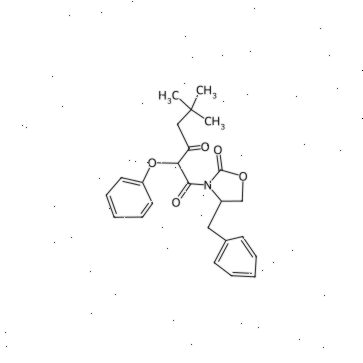 CC(C)(C)CC(=O)C(Oc1ccccc1)C(=O)N1C(=O)OCC1Cc1ccccc1